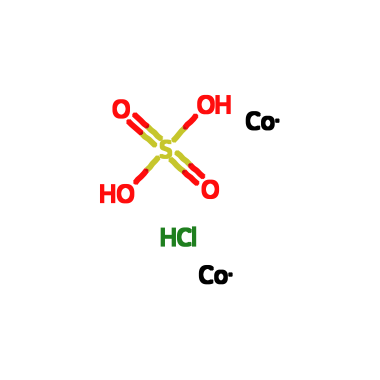 Cl.O=S(=O)(O)O.[Co].[Co]